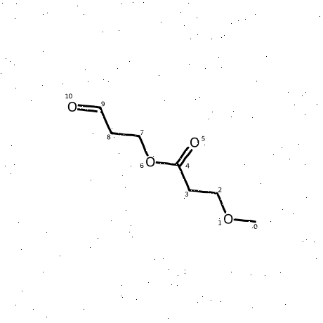 COCCC(=O)OCCC=O